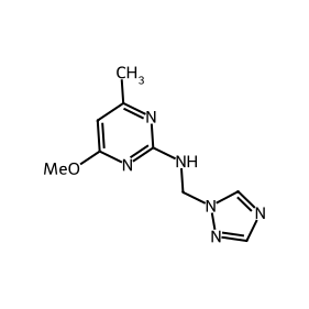 COc1cc(C)nc(NCn2cncn2)n1